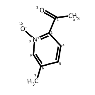 CC(=O)c1ccc(C)c[n+]1[O-]